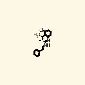 CC1NC(NCCc2ccccc2)=Nc2cccc(Cl)c21